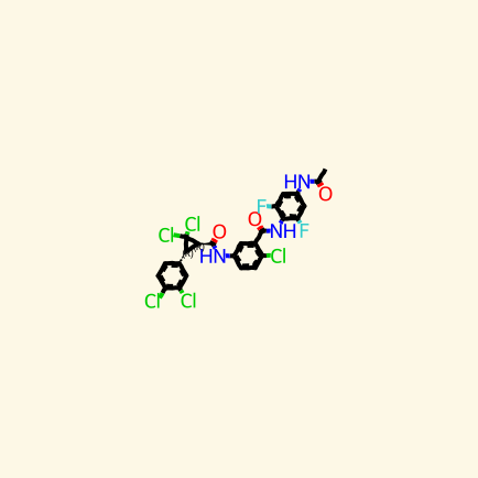 CC(=O)Nc1cc(F)c(NC(=O)c2cc(NC(=O)[C@H]3[C@H](c4ccc(Cl)c(Cl)c4)C3(Cl)Cl)ccc2Cl)c(F)c1